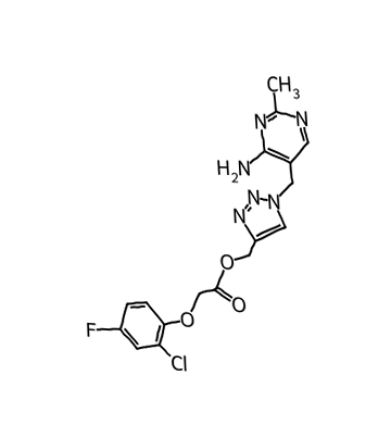 Cc1ncc(Cn2cc(COC(=O)COc3ccc(F)cc3Cl)nn2)c(N)n1